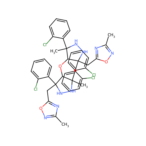 Cc1noc(CC2(c3ccccc3Cl)NNC(C)(c3ccccc3Cl)C2OC2C(C)(c3ccccc3Cl)NNC2(Cc2nc(C)no2)c2ccccc2Cl)n1